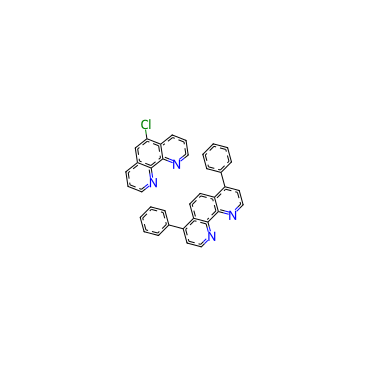 Clc1cc2cccnc2c2ncccc12.c1ccc(-c2ccnc3c2ccc2c(-c4ccccc4)ccnc23)cc1